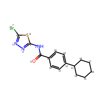 O=C(Nc1nnc(Br)s1)c1ccc(C2CC[CH]CC2)cc1